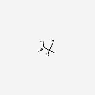 [2H]C(F)(F)S(=O)O.[Zn]